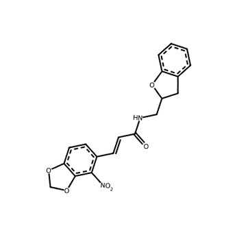 O=C(/C=C/c1ccc2c(c1[N+](=O)[O-])OCO2)NCC1Cc2ccccc2O1